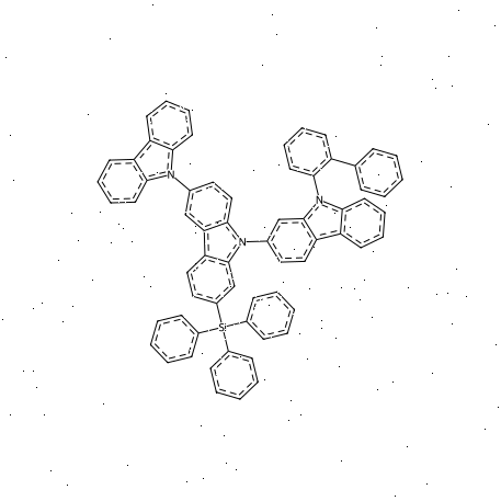 c1ccc(-c2ccccc2-n2c3ccccc3c3ccc(-n4c5ccc(-n6c7ccccc7c7ccccc76)cc5c5ccc([Si](c6ccccc6)(c6ccccc6)c6ccccc6)cc54)cc32)cc1